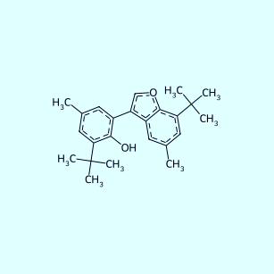 Cc1cc(-c2coc3c(C(C)(C)C)cc(C)cc23)c(O)c(C(C)(C)C)c1